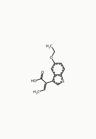 CC=C(C(=O)O)c1csc2ccc(OCC)cc12